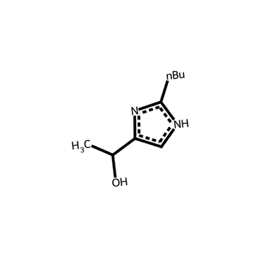 CCCCc1nc(C(C)O)c[nH]1